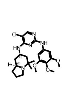 COc1cc(Nc2ncc(Cl)c(N[C@@H]3C[C@@H]4CCCN4C(C)(C)C3)n2)cc(OC)c1OC